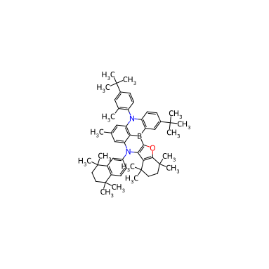 Cc1cc2c3c(c1)N(c1ccc4c(c1)C(C)(C)CCC4(C)C)c1c(oc4c1C(C)(C)CCC4(C)C)B3c1cc(C(C)(C)C)ccc1N2c1ccc(C(C)(C)C)cc1C